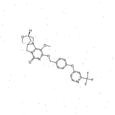 COc1c(OCc2ccc(Oc3ccnc(C(F)(F)F)c3)cc2)nc(=O)n2c1N1C[C@@H]3C[C@]1(CO3)C2